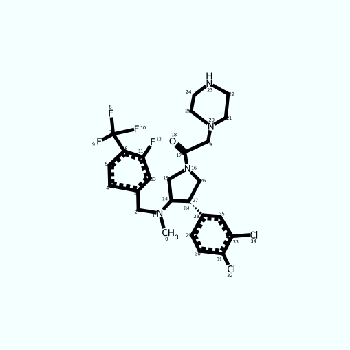 CN(Cc1ccc(C(F)(F)F)c(F)c1)C1CN(C(=O)CN2CCNCC2)C[C@@H]1c1ccc(Cl)c(Cl)c1